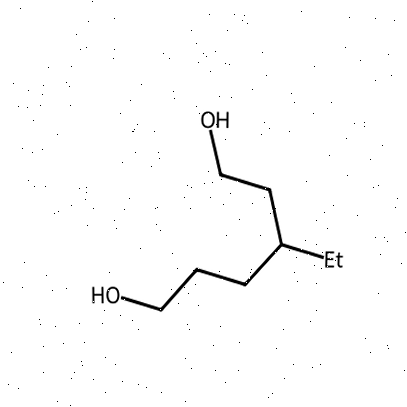 CCC(CCO)CCCO